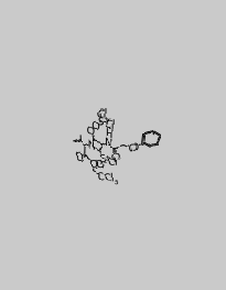 C=C(C)C(C(=O)OCC(Cl)(Cl)Cl)N1C(=O)C(NC(=O)COc2ccccc2)C1[S+]([O-])Cl.[O-][S+](Cl)Cl